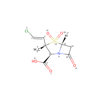 C[C@]1(/C=C/Cl)[C@H](C(=O)O)N2C(=O)C[C@H]2S1(=O)=O